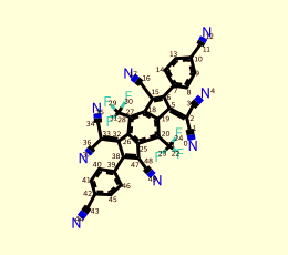 N#CC(C#N)=C1C(c2ccc(C#N)cc2)=C(C#N)c2c1c(C(F)(F)F)c1c(c2C(F)(F)F)C(=C(C#N)C#N)C(c2ccc(C#N)cc2)=C1C#N